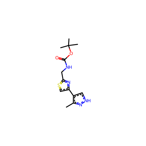 Cc1n[nH]cc1-c1csc(CNC(=O)OC(C)(C)C)n1